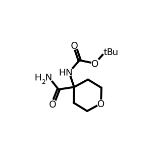 CC(C)(C)OC(=O)NC1(C(N)=O)CCOCC1